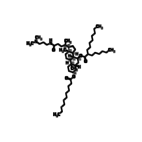 CCCCCCCCCCC(=O)O[C@@H]1CC[C@@]2(C)[C@@H](C1)C[C@H](OC(=O)C(CCCCCC)CCCCCCCC)[C@@H]1[C@@H]2CC[C@]2(C)[C@@H]([C@H](C)CCC(=O)NCCCN(C)C)CC[C@@H]12